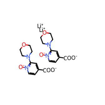 O=C([O-])c1cc[n+]([O-])c(N2CCOCC2)c1.O=C([O-])c1cc[n+]([O-])c(N2CCOCC2)c1.[Li+].[Li+]